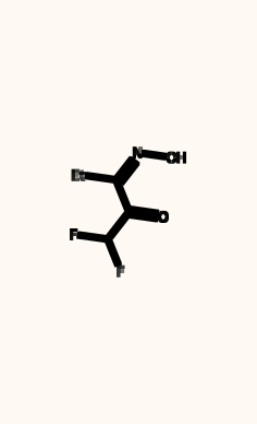 CC/C(=N/O)C(=O)C(F)F